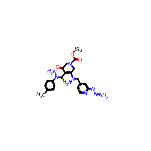 Cc1ccc(N(N)C(=S)C2=C(N(N)Cc3ccnc(N=NN)c3)CN(C(=O)OC(C)(C)C)CC2=O)cc1